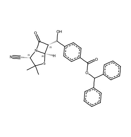 CC1(C)S[C@@H]2[C@@H](C(O)c3ccc(C(=O)OC(c4ccccc4)c4ccccc4)cc3)C(=O)N2[C@H]1C#N